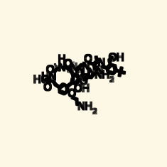 Cc1nc(-c2ccc(C(C)(C)C)cc2CO)nc(N)c1C(=O)NCC(=O)N(C)[C@@H]1C(=O)N[C@@H](C)C(=O)N[C@H](C(=O)O)Cc2ccc(OCCCN)c(c2)-c2cc1cc(OCCCN)c2O